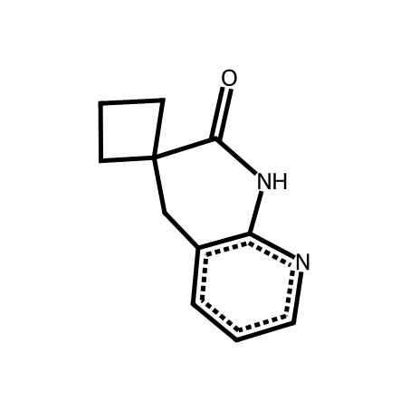 O=C1Nc2ncccc2CC12CCC2